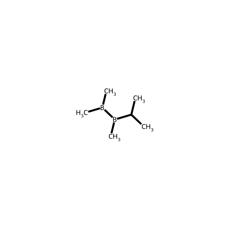 CB(C)B(C)C(C)C